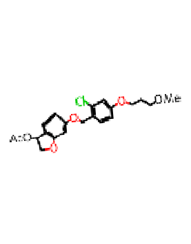 COCCCOc1ccc(COc2ccc3c(c2)OCC3OC(C)=O)c(Cl)c1